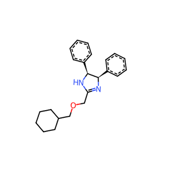 c1ccc([C@H]2N=C(COCC3CCCCC3)N[C@H]2c2ccccc2)cc1